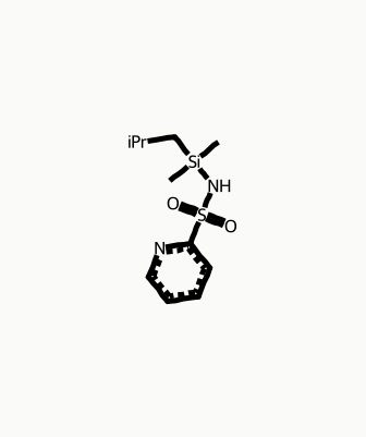 CC(C)C[Si](C)(C)NS(=O)(=O)c1ccccn1